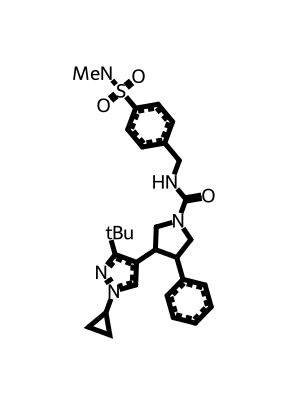 CNS(=O)(=O)c1ccc(CNC(=O)N2CC(c3ccccc3)C(c3cn(C4CC4)nc3C(C)(C)C)C2)cc1